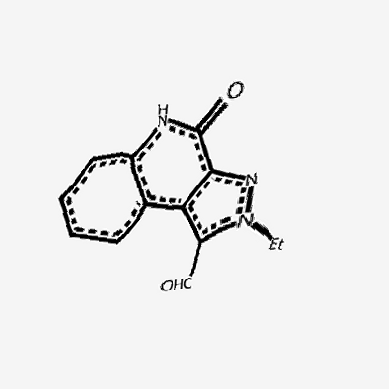 CCn1nc2c(=O)[nH]c3ccccc3c2c1C=O